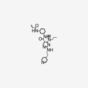 C=CC(=O)Nc1cccc(NC(=O)c2cnc(NCCc3ccncc3)nc2NCCC)c1